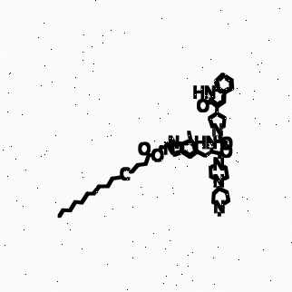 CCCCCCCCCCCCCCCC(=O)OCn1cc2cc(C[C@@H](NC(=O)N3CCC(c4cc5ccccc5[nH]c4=O)CC3)C(=O)N3CCN(C4CCN(C)CC4)CC3)cc(C)c2n1